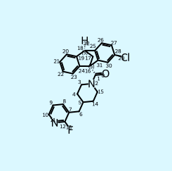 O=C(N1CCC(Cc2cccnc2F)CC1)[C@@]12C[C@@H](c3ccccc31)c1ccc(Cl)cc12